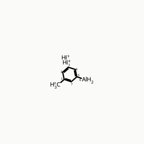 Cc1ccc[c]([AlH2])c1.I.I